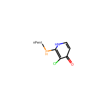 CCCCCPc1[nH]ccc(=O)c1Cl